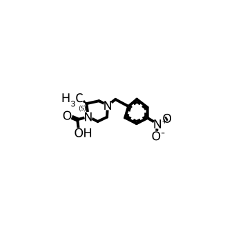 C[C@H]1CN(Cc2ccc([N+](=O)[O-])cc2)CCN1C(=O)O